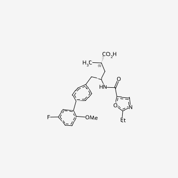 CCc1ncc(C(=O)NC(Cc2ccc(-c3cc(F)ccc3OC)cc2)C[C@H](C)C(=O)O)o1